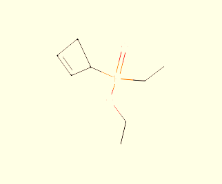 CCOP(=O)(CC)C1C=CC1